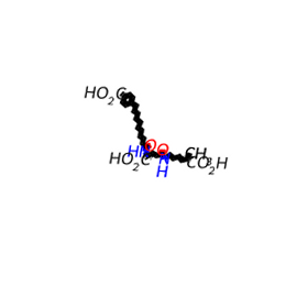 C[C@@H](CCCCNC(=O)CC[C@H](NC(=O)CCCCCCCCCCc1ccc(C(=O)O)cc1)C(=O)O)C(=O)O